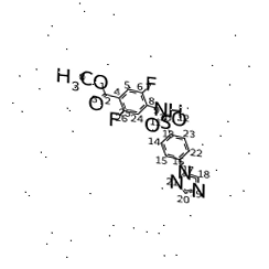 COC(=O)c1cc(F)c(NS(=O)(=O)c2ccc(-n3cncn3)cc2)cc1F